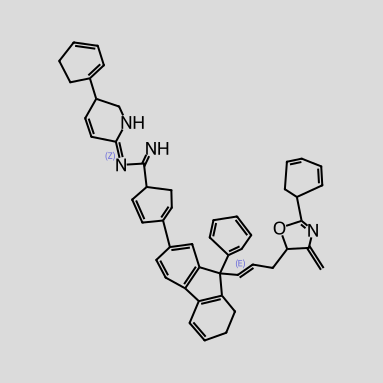 C=C1N=C(C2C=CC=CC2)OC1C/C=C/C1(c2ccccc2)C2=C(C=CCC2)c2ccc(C3=CCC(C(=N)/N=C4/C=CC(C5=CC=CCC5)CN4)C=C3)cc21